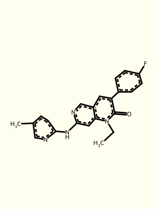 CCn1c(=O)c(-c2ccc(F)cc2)cc2cnc(Nc3ccc(C)cn3)cc21